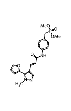 COP(=O)(Cc1ccc(NC(=O)/C=C/c2cnn(C)c2-c2ccco2)cc1)OC